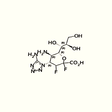 Nc1nnnn1[C@H]1C(F)C(F)(C(=O)O)O[C@@H]([C@H](O)[C@H](O)CO)[C@@H]1N